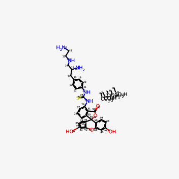 CC(=O)O.CC(=O)O.CC(=O)O.CC(=O)O.CC(=O)O.NCCNCC(N)Cc1ccc(NC(=S)Nc2cccc3c2C(=O)OC32c3ccc(O)cc3Oc3cc(O)ccc32)cc1